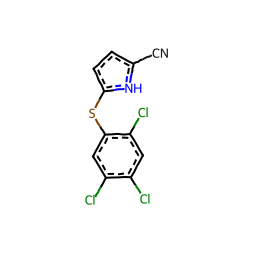 N#Cc1ccc(Sc2cc(Cl)c(Cl)cc2Cl)[nH]1